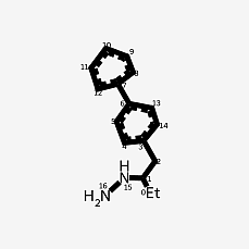 CCC(Cc1ccc(-c2ccccc2)cc1)NN